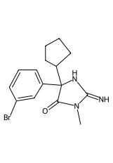 CN1C(=N)NC(c2cccc(Br)c2)(C2CCCC2)C1=O